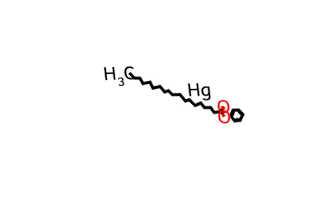 CCCCCCCCCCCCCCCCCCC(=O)Oc1ccccc1.[Hg]